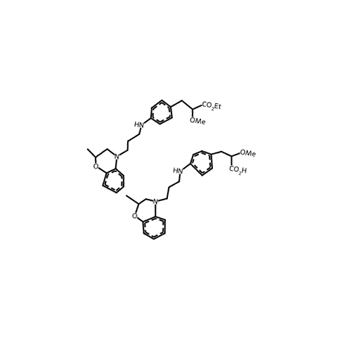 CCOC(=O)C(Cc1ccc(NCCCN2CC(C)Oc3ccccc32)cc1)OC.COC(Cc1ccc(NCCCN2CC(C)Oc3ccccc32)cc1)C(=O)O